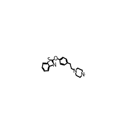 c1ccc2sc(Oc3ccc(CCN4CC[N]CC4)cc3)nc2c1